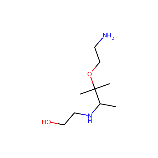 CC(NCCO)C(C)(C)OCCN